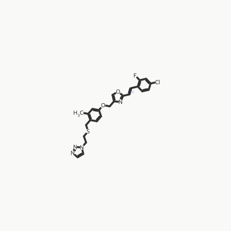 Cc1cc(OCc2coc(/C=C/c3ccc(Cl)cc3F)n2)ccc1CSCCn1ccnn1